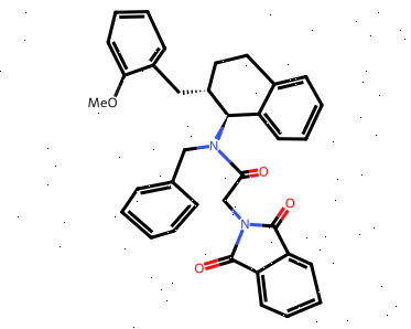 COc1ccccc1C[C@@H]1CCc2ccccc2[C@H]1N(Cc1ccccc1)C(=O)CN1C(=O)c2ccccc2C1=O